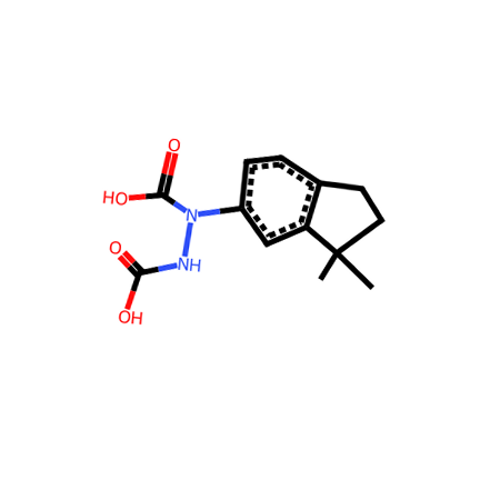 CC1(C)CCc2ccc(N(NC(=O)O)C(=O)O)cc21